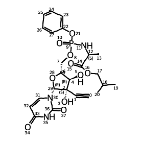 C#C[C@]1(O)[C@H](O)[C@@H](COP(=O)(N[C@@H](C)C(=O)OCC(C)C)Oc2ccccc2)O[C@H]1n1ccc(=O)[nH]c1=O